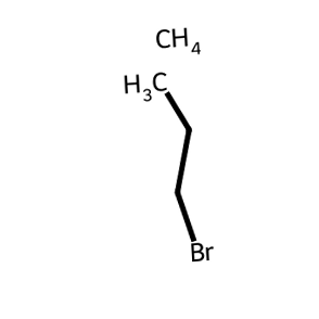 C.CCCBr